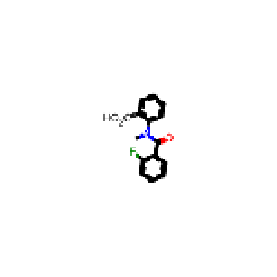 CN(C(=O)c1ccccc1F)c1ccccc1C(=O)O